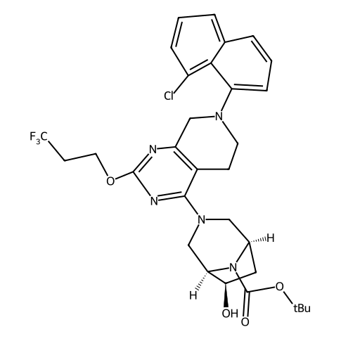 CC(C)(C)OC(=O)N1[C@@H]2C[C@@H](O)[C@H]1CN(c1nc(OCCC(F)(F)F)nc3c1CCN(c1cccc4cccc(Cl)c14)C3)C2